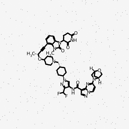 C[C@H](C#Cc1cccc2c1n(C)c(=O)n2C1CCC(=O)NC1=O)OC1CCN(C[C@H]2CC[C@H](n3cc(NC(=O)c4cnn5ccc(N6C[C@H]7C[C@@H]6CO7)nc45)c(C(F)F)n3)CC2)CC1